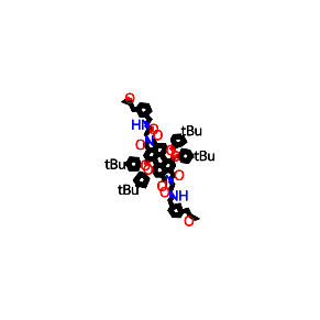 CC(C)(C)c1ccc(Oc2cc3c4c(cc(Oc5ccc(C(C)(C)C)cc5)c5c6c(Oc7ccc(C(C)(C)C)cc7)cc7c8c(cc(Oc9ccc(C(C)(C)C)cc9)c(c2c45)c86)C(=O)N(CC(=O)NCc2cccc(CC4CO4)c2)C7=O)C(=O)N(CC(=O)NCc2cccc(CC4CO4)c2)C3=O)cc1